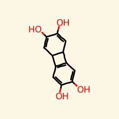 OC1=CC2c3cc(O)c(O)cc3C2C=C1O